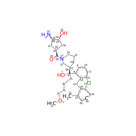 COCCCCC(O)(c1cccc(Cl)c1Cc1ccccc1C)[C@@H]1CCCN(C(=O)[C@H]2C[C@@H](N)[C@@H](O)C2)C1